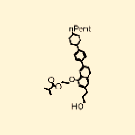 C=C(C)C(=O)OCCOc1cc(CCCO)cc2ccc(-c3ccc(C4CCC(CCCCC)CC4)cc3)cc12